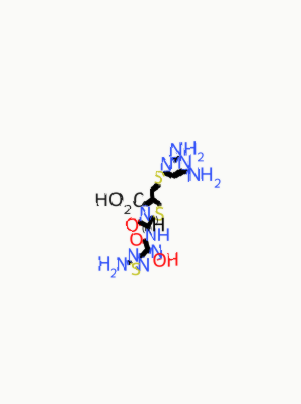 Nc1cc(SC=CC2=C(C(=O)O)N3C(=O)[C@@H](NC(=O)C(=NO)c4nsc(N)n4)[C@H]3SC2)nc(N)n1